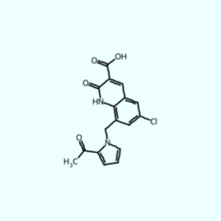 CC(=O)c1cccn1Cc1cc(Cl)cc2cc(C(=O)O)c(=O)[nH]c12